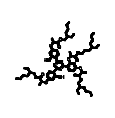 CCCCC(CC)CCCOC(=O)C(C)Oc1cc(OC(C)C(=O)OCC(CC)CCCC)ccc1-c1nc(-c2ccc(OC(C)C(=O)OCC(CC)CCCC)cc2O)nc(-c2ccc(OC(C)C(=O)OCC(CC)CCCC)cc2O)n1